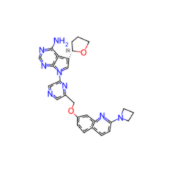 Nc1ncnc2c1c([C@@H]1CCCO1)cn2-c1cncc(COc2ccc3ccc(N4CCC4)nc3c2)n1